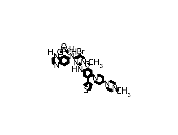 COc1cc(N2CCC(N3CCN(C)CC3)CC2)c(-c2ccsc2)cc1Nc1ncc(Br)c(Nc2ccc3nccnc3c2P(C)(C)=O)n1